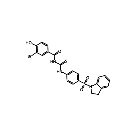 O=C(NC(=S)Nc1ccc(S(=O)(=O)N2CCc3ccccc32)cc1)c1ccc(O)c(Br)c1